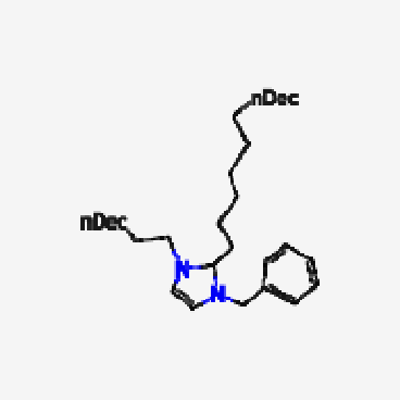 CCCCCCCCCCCCCCCCC1N(CCCCCCCCCCCC)C=CN1Cc1ccccc1